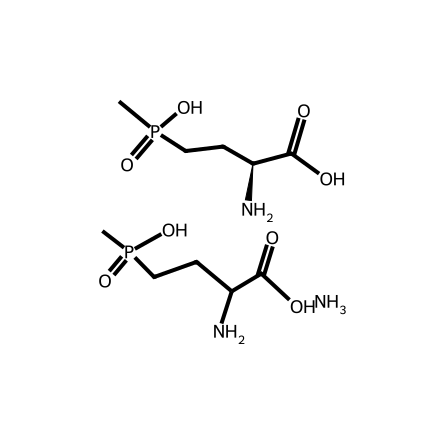 CP(=O)(O)CCC(N)C(=O)O.CP(=O)(O)CC[C@H](N)C(=O)O.N